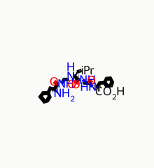 CC(C)C[C@H](NC(=O)CNC(=O)[C@@H](N)Cc1ccccc1)C(=O)NCC(=O)N[C@@H](Cc1ccccc1)C(=O)O